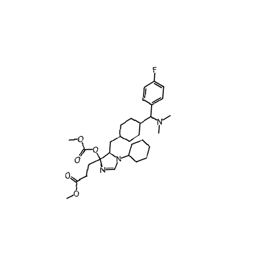 COC(=O)CCC1(OC(=O)OC)N=CN(C2CCCCC2)C1CC1CCC(C(c2ccc(F)cc2)N(C)C)CC1